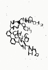 C=C1CC[C@@H](CNCc2ncc(-c3cccc(-c4cccc(-c5cnc(CNCC6CCC6)c(OC)n5)c4Cl)c3Cl)nc2OC)N1